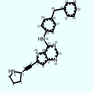 C(#C[C@H]1CCCN1)c1cc2ncnc(Nc3ccc(Cc4ccccc4)cc3)c2s1